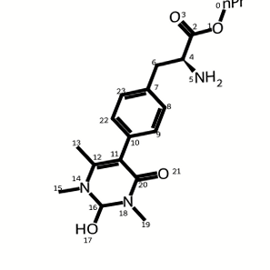 CCCOC(=O)[C@@H](N)Cc1ccc(C2=C(C)N(C)C(O)N(C)C2=O)cc1